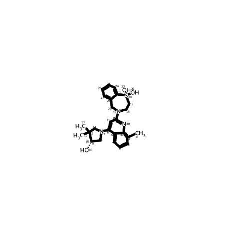 Cc1cccc2c(N3C[C@H](O)C(C)(C)C3)cc(N3CCS(O)(O)c4ccccc4C3)nc12